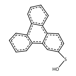 OSc1ccc2c3ccccc3c3ccccc3c2c1